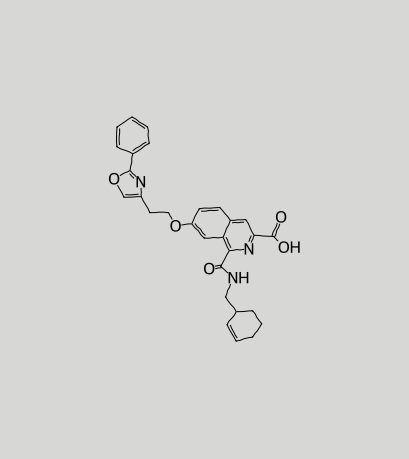 O=C(O)c1cc2ccc(OCCc3coc(-c4ccccc4)n3)cc2c(C(=O)NCC2C=CCCC2)n1